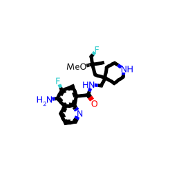 COC(C)(CF)CC1(CNC(=O)c2cc(F)c(N)c3cccnc23)CCNCC1